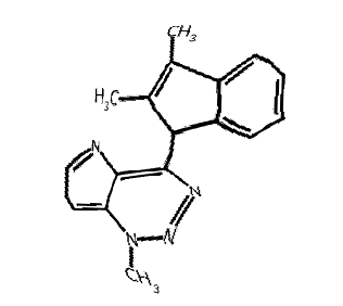 CC1=C(C)C(c2nnn(C)c3ccnc2-3)c2ccccc21